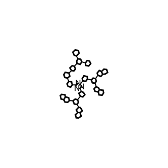 c1ccc(-c2cc(-c3ccccc3)cc(-c3ccc(-c4cccc(-c5cccc(-c6nc(-c7cccc(-c8cc(-c9ccc%10ccccc%10c9)cc(-c9ccc%10ccccc%10c9)c8)c7)nc(-c7cccc(-c8cc(-c9ccc%10ccccc%10c9)cc(-c9ccc%10ccccc%10c9)c8)c7)n6)c5)c4)cc3)c2)cc1